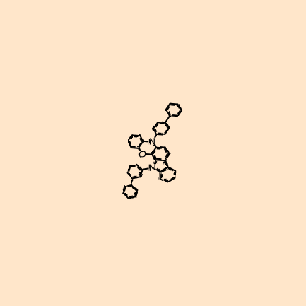 c1ccc(-c2ccc(N3c4ccccc4Oc4c3ccc3c5ccccc5n(-c5cccc(-c6ccccc6)c5)c43)cc2)cc1